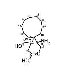 C[C@H]1C[C@@](F)(CO)[C@](N)(C2CCCCCCCCC2)CO1